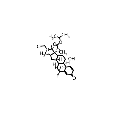 CC(C)OC(=O)O[C@]1(C(=O)OCCl)[C@H](C)C[C@H]2[C@@H]3C[C@H](F)C4=CC(=O)C=C[C@]4(C)[C@H]3[C@@H](O)C[C@@]21C